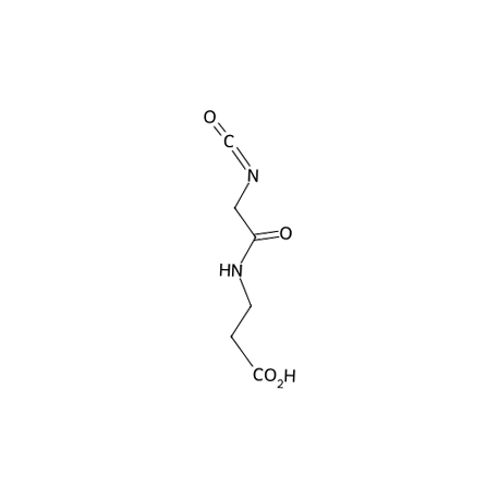 O=C=NCC(=O)NCCC(=O)O